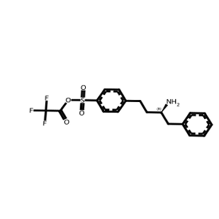 N[C@H](CCc1ccc(S(=O)(=O)OC(=O)C(F)(F)F)cc1)Cc1ccccc1